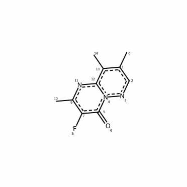 Cc1cnn2c(=O)c(F)c(C)nc2c1C